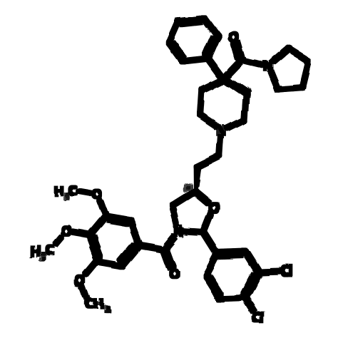 COc1cc(C(=O)N2C[C@@H](CCN3CCC(C(=O)N4CCCC4)(c4ccccc4)CC3)OC2c2ccc(Cl)c(Cl)c2)cc(OC)c1OC